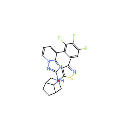 Cc1cc(N2CC3CCC(C2)C3Nc2nc3c(-c4ccc(F)c(F)c4F)cccn3n2)sn1